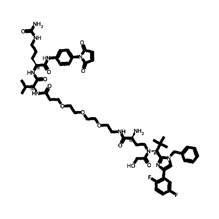 CC(C)[C@H](NC(=O)CCOCCOCCOCCNC(=O)[C@@H](N)CCN(C(=O)CO)[C@@H](c1nc(-c2cc(F)ccc2F)cn1Cc1ccccc1)C(C)(C)C)C(=O)N[C@@H](CCCNC(N)=O)C(=O)Nc1ccc(N2C(=O)C=CC2=O)cc1